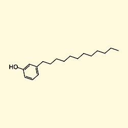 CCCCCCCCCCCCc1cccc(O)c1